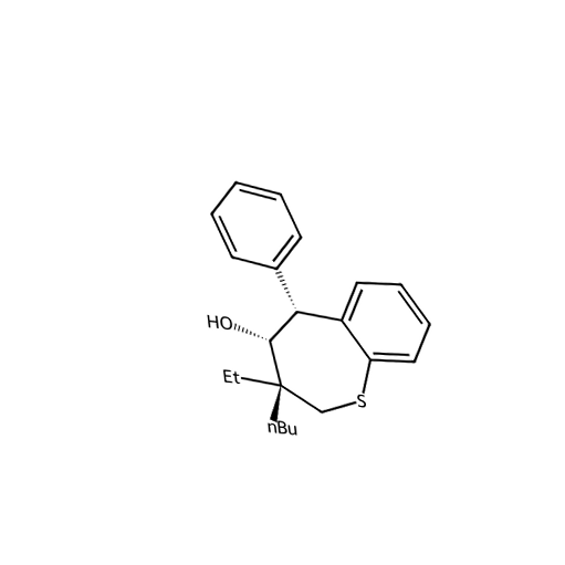 CCCC[C@]1(CC)CSc2ccccc2[C@@H](c2ccccc2)[C@H]1O